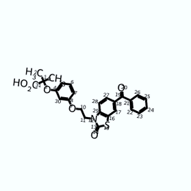 CC(C)(Oc1cccc(OCCn2c(=O)sc3cc(C(=O)c4ccccc4)ccc32)c1)C(=O)O